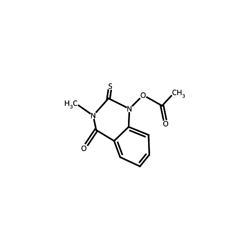 CC(=O)On1c(=S)n(C)c(=O)c2ccccc21